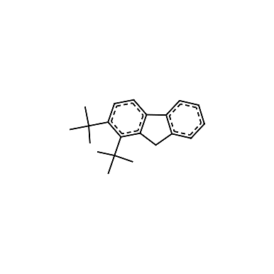 CC(C)(C)c1ccc2c(c1C(C)(C)C)Cc1ccccc1-2